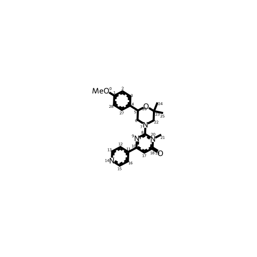 COc1ccc(C2CN(c3nc(-c4ccncc4)cc(=O)n3C)CC(C)(C)O2)cc1